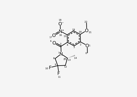 COc1cc(C(=O)N2CC(F)(F)C[C@H]2C)c([N+](=O)[O-])cc1OC